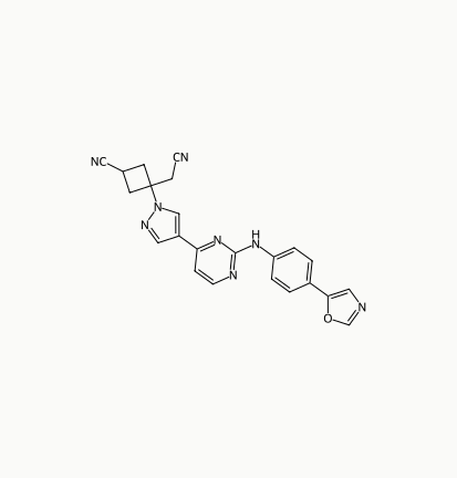 N#CCC1(n2cc(-c3ccnc(Nc4ccc(-c5cnco5)cc4)n3)cn2)CC(C#N)C1